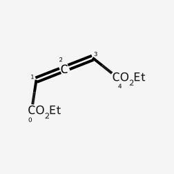 CCOC(=O)C=C=CC(=O)OCC